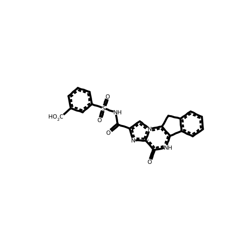 O=C(O)c1cccc(S(=O)(=O)NC(=O)c2cn3c4c([nH]c(=O)c3n2)-c2ccccc2C4)c1